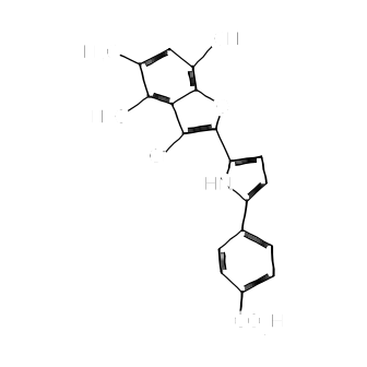 Cc1cc(C)c2oc(-c3ccc(-c4ccc(C(=O)O)cc4)[nH]3)c(Cl)c2c1C